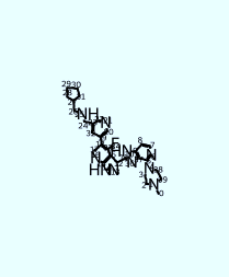 CN1CCN(c2nccc3[nH]c(-c4n[nH]c5ncc(-c6cncc(CNCC7CCCC7)c6)c(F)c45)nc23)CC1